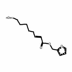 CCCCCCCCCCCCCCCC=CC(=O)OCc1ccco1